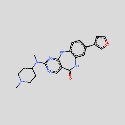 CN1CCC(N(C)c2ncc3c(n2)Nc2ccc(-c4ccoc4)cc2NC3=O)CC1